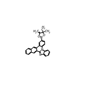 C=C1OB(c2ccc3c(c2)c2cc4ccccc4cc2c2nc4ccccc4n32)OC1(C)C